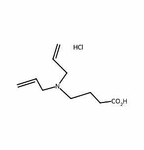 C=CCN(CC=C)CCCC(=O)O.Cl